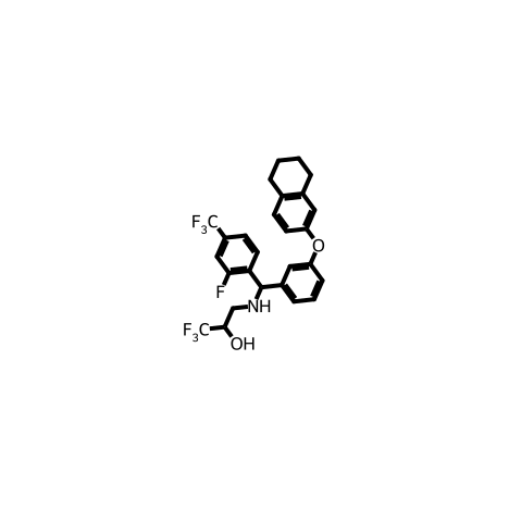 OC(CNC(c1cccc(Oc2ccc3c(c2)CCCC3)c1)c1ccc(C(F)(F)F)cc1F)C(F)(F)F